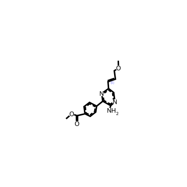 COC/C=C/c1cnc(N)c(-c2ccc(C(=O)OC)cc2)n1